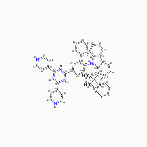 CC1(C)c2ccccc2-c2ccc3c4ccccc4n(-c4c(-c5ccccc5)cc(-c5nc(-c6ccncc6)nc(-c6ccncc6)n5)cc4C4C=CC=CC4)c3c21